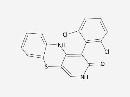 O=c1[nH]cc2c(c1-c1c(Cl)cccc1Cl)Nc1ccccc1S2